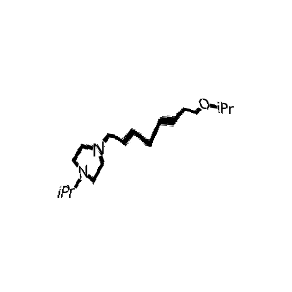 CC(C)OCCCCCCCCN1CCN(C(C)C)CC1